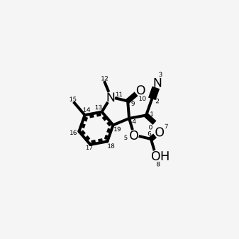 C=C(C#N)C1(OC(=O)O)C(=O)N(C)c2c(C)cccc21